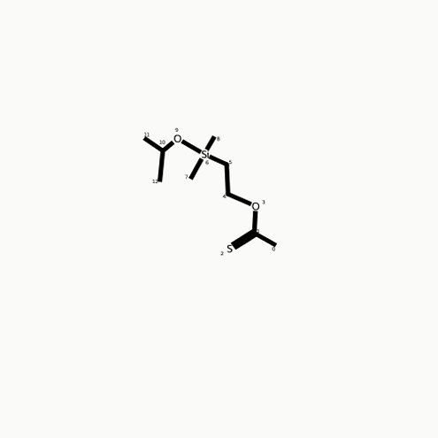 CC(=S)OCC[Si](C)(C)OC(C)C